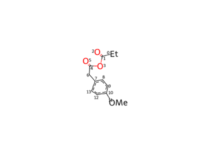 [CH2]CC(=O)OC(=O)Cc1ccc(OC)cc1